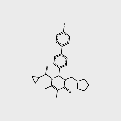 CC1=C(C)N(C(=O)C2CC2)C(c2ccc(-c3ccc(F)cc3)cc2)N(CN2CCCC2)C1=O